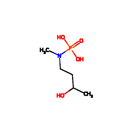 CC(O)CCN(C)P(=O)(O)O